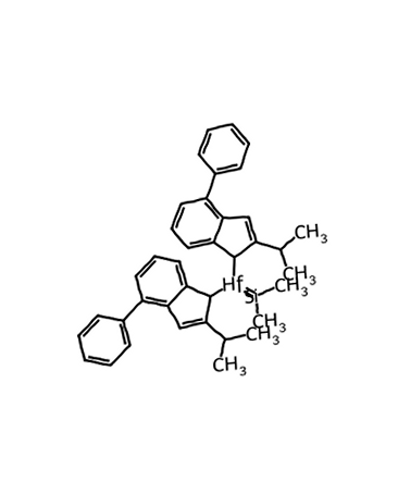 CC(C)C1=Cc2c(-c3ccccc3)cccc2[CH]1[Hf]([CH]1C(C(C)C)=Cc2c(-c3ccccc3)cccc21)=[Si](C)C